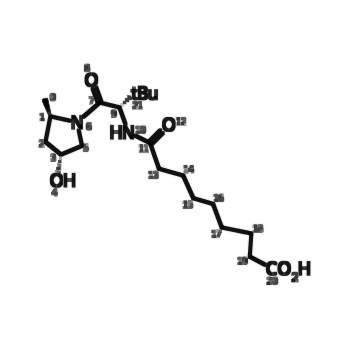 C[C@@H]1C[C@@H](O)CN1C(=O)[C@@H](NC(=O)CCCCCCCC(=O)O)C(C)(C)C